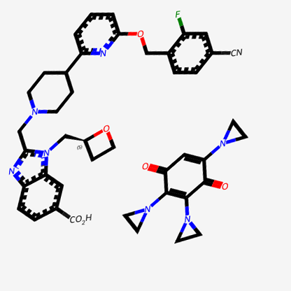 N#Cc1ccc(COc2cccc(C3CCN(Cc4nc5ccc(C(=O)O)cc5n4C[C@@H]4CCO4)CC3)n2)c(F)c1.O=C1C=C(N2CC2)C(=O)C(N2CC2)=C1N1CC1